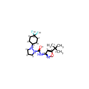 CC(C)(C)c1cc(NC(=O)N2CCCN2C2CCC(F)(F)CC2)no1